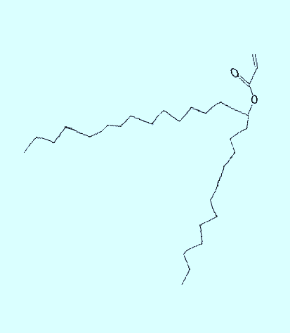 C=CC(=O)OC(CCCCCCCCCCCC)CCCCCCCCCCCCCC